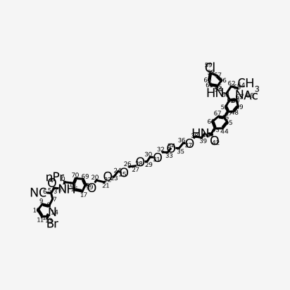 CCCC(NC(=O)C(C#N)Cc1cccc(Br)n1)c1ccc(OCCOCCOCCOCCOCCOCCOCCNC(=O)c2ccc(-c3ccc4c(c3)[C@H](Nc3ccc(Cl)cc3)C[C@H](C)N4C(C)=O)cc2)cc1